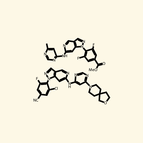 COC(=O)c1cc(F)c(-n2ncc3cnc(Nc4cc(C)ncn4)cc32)c(F)c1.N#Cc1cc(F)c(-n2ncc3cnc(Nc4cc(N5CCC6(CCOC6)CC5)ncn4)cc32)c(Cl)c1